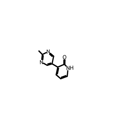 Cc1ncc(-c2ccc[nH]c2=O)cn1